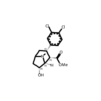 COC(=O)[C@@H]1[C@H]2[C@H](O)CC(C[C@@H]1c1ccc(Cl)c(Cl)c1)N2C